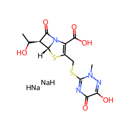 CC(O)[C@H]1C(=O)N2C(C(=O)O)=C(CSc3nc(=O)c(O)nn3C)S[C@H]12.[NaH].[NaH]